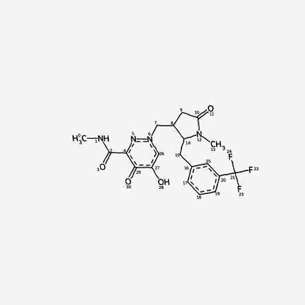 CNC(=O)c1nn(CC2CC(=O)N(C)C2Cc2cccc(C(F)(F)F)c2)cc(O)c1=O